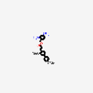 COc1ccc(-c2ccc(/C=C/C(=O)OCc3ccc(N)cc3N)c(OC)c2)cc1